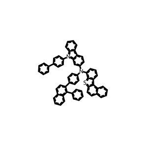 c1ccc(-c2ccc(-n3c4ccccc4c4ccc(N(c5ccc(-c6ccc7ccccc7c6-c6ccccc6)cc5)c5cccc6c5sc5ccc7ccccc7c56)cc43)cc2)cc1